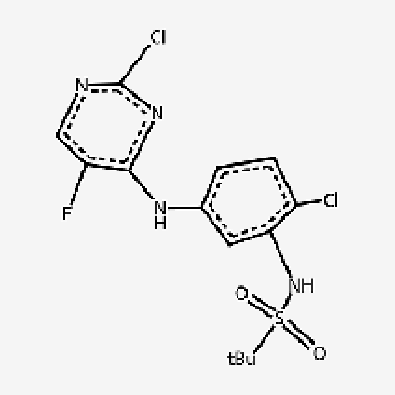 CC(C)(C)S(=O)(=O)Nc1cc(Nc2nc(Cl)ncc2F)ccc1Cl